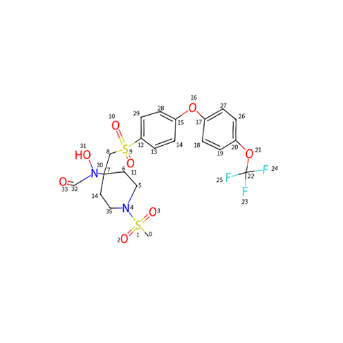 CS(=O)(=O)N1CCC(CS(=O)(=O)c2ccc(Oc3ccc(OC(F)(F)F)cc3)cc2)(N(O)C=O)CC1